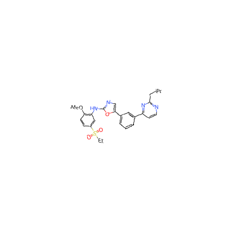 CCS(=O)(=O)c1ccc(OC)c(Nc2ncc(-c3cccc(-c4ccnc(CC(C)C)n4)c3)o2)c1